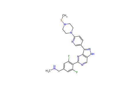 CNCc1cc(F)c(-c2ncc3[nH]nc(-c4ccc(N5CCN(SC)CC5)nc4)c3n2)c(F)c1